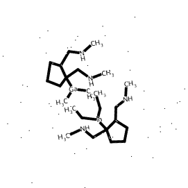 CNCC1CCC[C]1(CNC)[Ga]([CH3])[CH3].C[CH2][In]([CH2]C)[C]1(CNC)CCCC1CNC